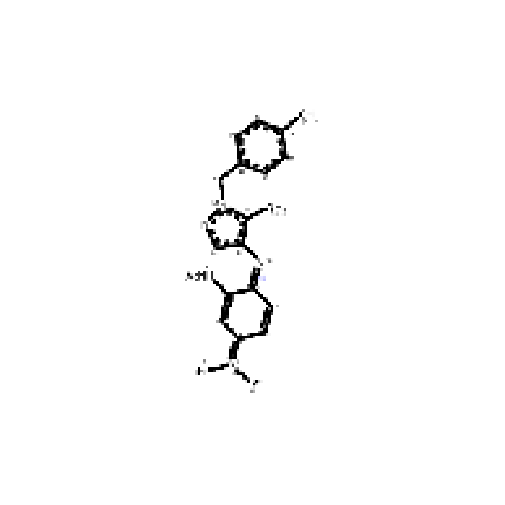 CC(=O)NC1=CC(=[N+](C(C)C)C(C)C)C=C/C1=N/c1cnn(Cc2ccc(C)cc2)c1N